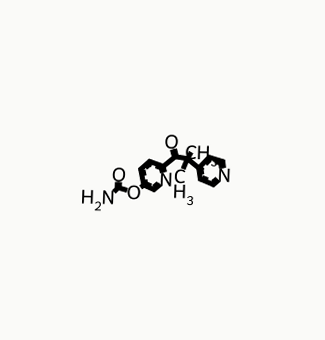 CC(C)(C(=O)c1ccc(OC(N)=O)cn1)c1ccncc1